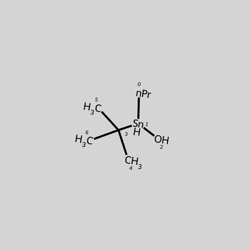 CC[CH2][SnH]([OH])[C](C)(C)C